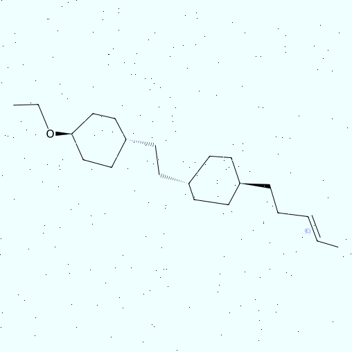 C/C=C/CC[C@H]1CC[C@H](CC[C@H]2CC[C@H](OCC)CC2)CC1